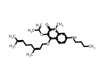 CCCCNc1ccc2c(OCC=C(C)CCC=C(C)C)c(OC(C)C)c(=O)n(C)c2c1